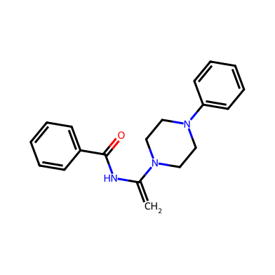 C=C(NC(=O)c1ccccc1)N1CCN(c2ccccc2)CC1